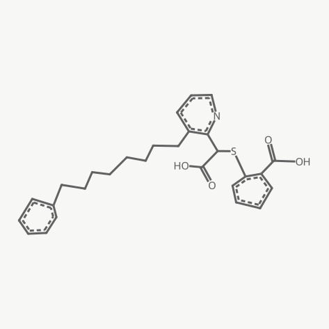 O=C(O)c1ccccc1SC(C(=O)O)c1ncccc1CCCCCCCCc1ccccc1